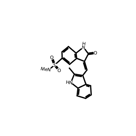 CNS(=O)(=O)c1ccc2c(c1)/C(=C\c1c(C)[nH]c3ccccc13)C(=O)N2